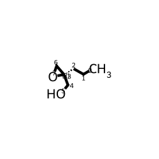 CCC[C@@]1(CO)CO1